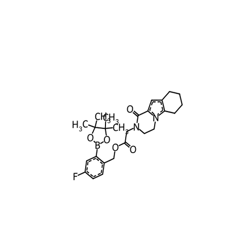 CC1(C)OB(c2cc(F)ccc2COC(=O)CN2CCn3c(cc4c3CCCC4)C2=O)OC1(C)C